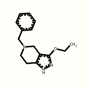 CCOc1n[nH]c2c1CN(Cc1ccccc1)CC2